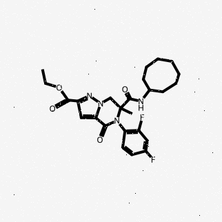 CCOC(=O)c1cc2n(n1)CC(C)(C(=O)NC1CCCCCCC1)N(c1ccc(F)cc1F)C2=O